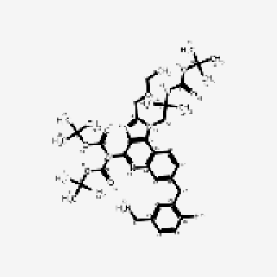 CCOCc1nc2c(N(C(=O)OC(C)(C)C)C(=O)OC(C)(C)C)nc3cc(Cc4cc(CN)ccc4F)ccc3c2n1CC(C)(C)OC(=O)OC(C)(C)C